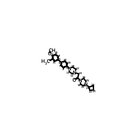 COc1ccc(-c2ccc(N3CCN(CC(=O)N4CCN(C5CCC5)CC4)CC3)cc2)cc1C